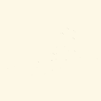 Cc1csc(C2=C(c3nnn[nH]3)C(=O)N[C@@](c3ccc(OCCCC(F)(F)F)cc3)(C(F)(F)F)C2)c1